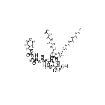 CCCCCCCCCCCCCCN(C(=O)CCCCCCCCCCC)[C@@H]1O[C@H](CO)[C@@H](O)[C@H](O)[C@H]1NC(=O)CNC(=O)CNC(=O)[C@H](C)NC(=O)OCc1ccccc1